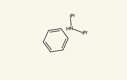 CC(C)NC(C)C.c1ccccc1